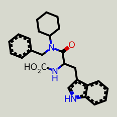 O=C(O)NC(Cc1c[nH]c2ccccc12)C(=O)N(Cc1ccccc1)C1CCCCC1